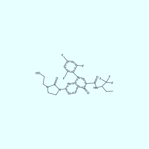 CCC(NC(=O)c1cn(-c2c(F)cc(F)cc2F)c2nc(N3CCN(CCO)C3=O)ccc2c1=O)C(F)(F)F